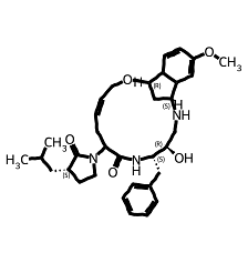 COC1=CC2C(C=C1)[C@H]1C[C@@H]2NC[C@@H](O)[C@H](Cc2ccccc2)NC(=O)C(N2CC[C@H](CC(C)C)C2=O)CC=CCO1